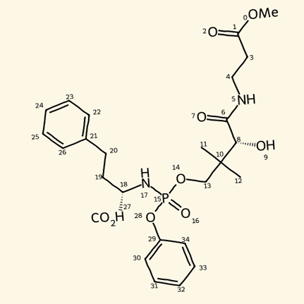 COC(=O)CCNC(=O)[C@H](O)C(C)(C)COP(=O)(N[C@@H](CCc1ccccc1)C(=O)O)Oc1ccccc1